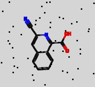 N#Cc1cc2ccccc2c(C(=O)O)n1